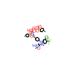 CC(=O)NC(C)(C)c1nc2cc(C(F)(F)F)c(Cl)cc2n1-c1ccc(CCN(C(=O)O)S(=O)(=O)c2ccc(C)cc2)cc1.Cc1ccc(S(=O)(=O)O)cc1